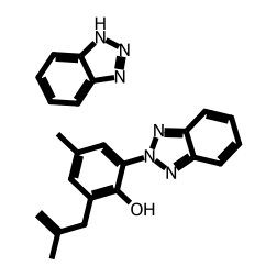 C=C(C)Cc1cc(C)cc(-n2nc3ccccc3n2)c1O.c1ccc2[nH]nnc2c1